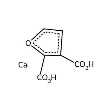 O=C(O)c1ccoc1C(=O)O.[Ca]